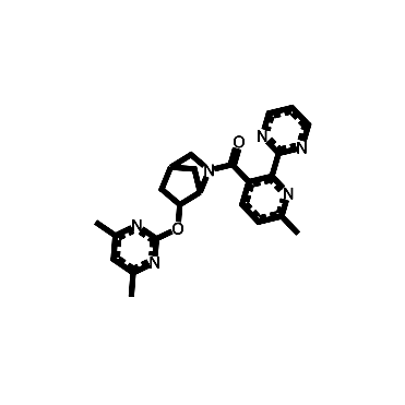 Cc1cc(C)nc(OC2CC3CC2N(C(=O)c2ccc(C)nc2-c2ncccn2)C3)n1